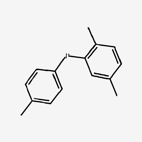 Cc1ccc([I+]c2cc(C)ccc2C)cc1